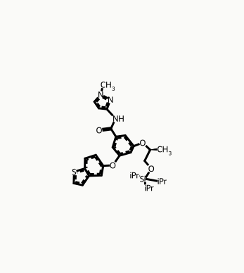 CC(C)[Si](OC[C@H](C)Oc1cc(Oc2ccc3sccc3c2)cc(C(=O)Nc2ccn(C)n2)c1)(C(C)C)C(C)C